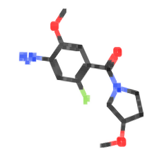 COc1cc(C(=O)N2CCC(OC)C2)c(F)cc1N